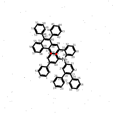 c1ccc(-c2cccc(N(c3ccc(-c4ccccc4)c(-c4ccccc4)c3)c3ccccc3-c3ccc4c(c3)c(-c3ccccc3)c(-c3ccccc3)c3ccccc34)c2)cc1